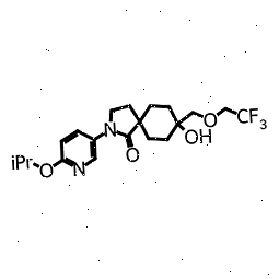 CC(C)Oc1ccc(N2CCC3(CCC(O)(COCC(F)(F)F)CC3)C2=O)cn1